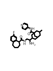 CC1CC2CC(C(N)CNC(=O)C3CCCCc4ccc(F)cc43)CC(C(=O)Nc3ccncc3)(C1)C2